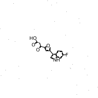 O=C(O)CC(=O)c1cc(-c2c[nH]c3cc(F)ccc23)co1